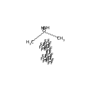 CCCCCCCCCCCc1cc2nc[nH]c2cc1CCCCCCCCCCC.Fc1c(F)c(F)c(B(c2c(F)c(F)c(F)c(F)c2F)c2c(F)c(F)c(F)c(F)c2F)c(F)c1F.Fc1c(F)c(F)c(B(c2c(F)c(F)c(F)c(F)c2F)c2c(F)c(F)c(F)c(F)c2F)c(F)c1F